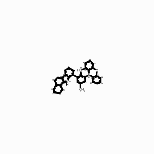 Cc1cc(-c2cccc3c2[nH]c2c4ccccc4ccc32)c2c(c1)N1c3ccccc3Oc3cccc(c31)B2